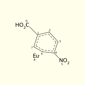 O=C(O)c1ccc([N+](=O)[O-])cc1.[Eu]